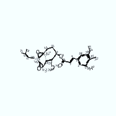 [2H]c1cc(/C=C/C(=O)O[C@@H]2CC[C@]3(CO3)[C@@H]([C@@]3(C)O[C@@H]3CC=C(C)C)[C@@H]2OC)cc(F)c1C